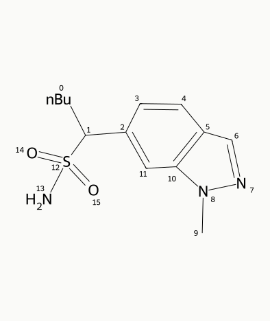 CCCCC(c1ccc2cnn(C)c2c1)S(N)(=O)=O